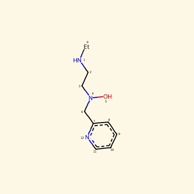 CCNCCN(O)Cc1ccccn1